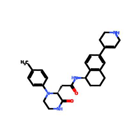 Cc1ccc(N2CCNC(=O)[C@H]2CC(=O)N[C@@H]2CCCc3cc(C4=CCNCC4)ccc32)cc1